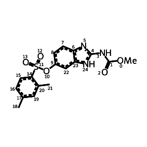 COC(=O)Nc1nc2ccc(OS(=O)(=O)c3ccc(C)cc3C)cc2[nH]1